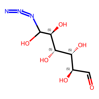 [N-]=[N+]=NC(O)[C@@H](O)[C@@H](O)[C@H](O)[C@H](O)C=O